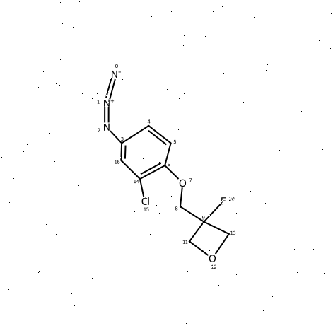 [N-]=[N+]=Nc1ccc(OCC2(F)COC2)c(Cl)c1